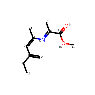 C=C(/C=C(C)\N=C(/C)C(=O)OC)CC